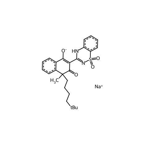 CC(C)(C)CCCCC1(C)C(=O)C(C2=NS(=O)(=O)c3ccccc3N2)=C([O-])c2ccccc21.[Na+]